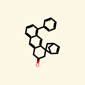 O=C1Cc2cc3cccc(-c4ccccc4)c3cc2C2(C1)CC1C=CC2C1